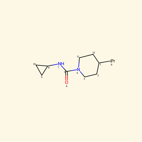 CC(C)C1CCN(C(=O)NC2CC2)CC1